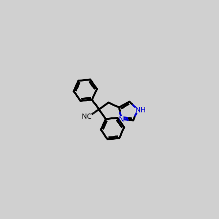 N#CC(Cc1c[nH]cn1)(c1ccccc1)c1ccccc1